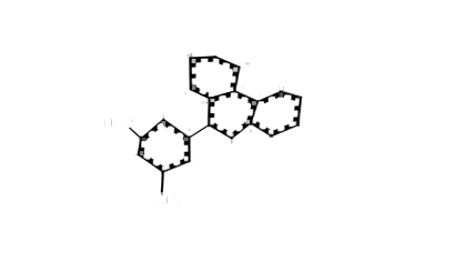 Cc1cc(C)cc(-c2cc3ccccc3c3ccccc23)c1